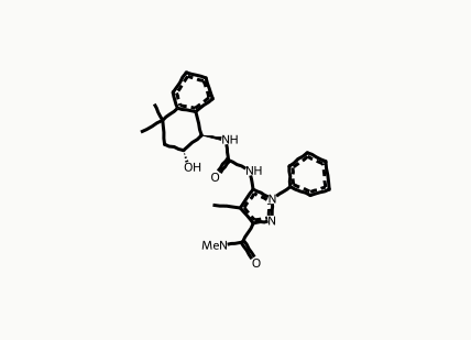 CNC(=O)c1nn(-c2ccccc2)c(NC(=O)N[C@@H]2c3ccccc3C(C)(C)C[C@H]2O)c1C